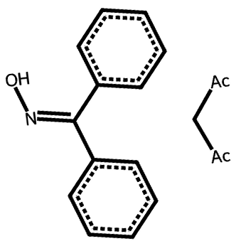 CC(=O)CC(C)=O.ON=C(c1ccccc1)c1ccccc1